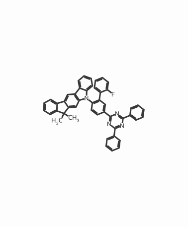 CC1(C)c2ccccc2-c2cc3c4ccccc4n(-c4ccc(-c5nc(-c6ccccc6)nc(-c6ccccc6)n5)cc4-c4ccccc4F)c3cc21